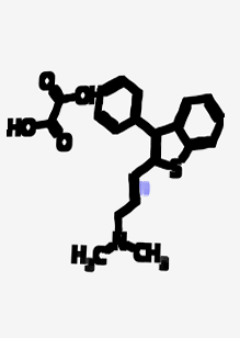 CN(C)C/C=C/c1sc2ccccc2c1-c1ccccc1.O=C(O)C(=O)O